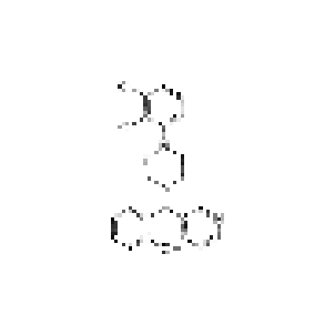 Oc1ccccc1C(c1cccnc1)N1CCN(c2cccc(Cl)c2Cl)CC1